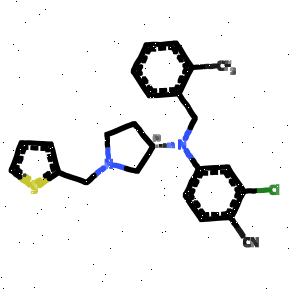 N#Cc1ccc(N(Cc2ccccc2C(F)(F)F)[C@H]2CCN(Cc3cccs3)C2)cc1Cl